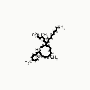 C=C1C=CN/C(=C\C2=C\C=CCC(=C)C/C=C/C=C(C(/C=C/CCCCCCN)=C/CC(C)/C=C\CCC)\C=C/N2)C=C1